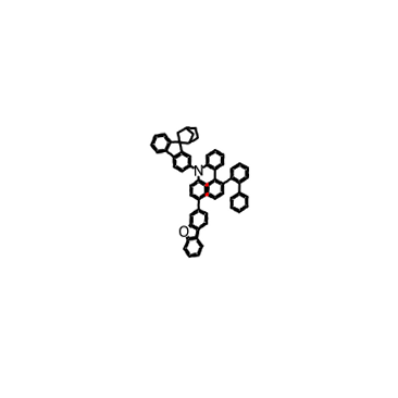 c1ccc(-c2ccccc2-c2ccccc2-c2ccccc2N(c2ccc(-c3ccc4c(c3)oc3ccccc34)cc2)c2ccc3c(c2)C2(CC4CCC2C4)c2ccccc2-3)cc1